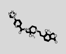 Cc1c(CCN2CCCC(C)(CNC(=O)c3ccc(-n4cnnn4)cn3)C2)ccc2c1COC2=O